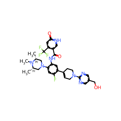 C[C@@H]1CN(c2cc(F)c(C3=CCN(c4ncc(CO)cn4)CC3)cc2NC(=O)c2c[nH]c(=O)cc2C(F)(F)F)C[C@H](C)N1C